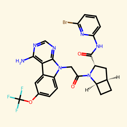 Nc1ncnc2c1c1cc(OC(F)(F)F)ccc1n2CC(=O)N1[C@@H]2CC[C@@H]2C[C@H]1C(=O)Nc1cccc(Br)n1